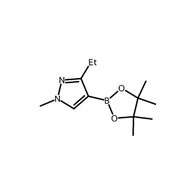 CCc1nn(C)cc1B1OC(C)(C)C(C)(C)O1